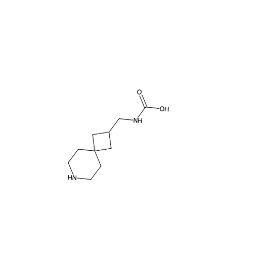 O=C(O)NCC1CC2(CCNCC2)C1